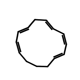 [C]1=C/C=C\C=C\CCC/C=C\C=C\C/1